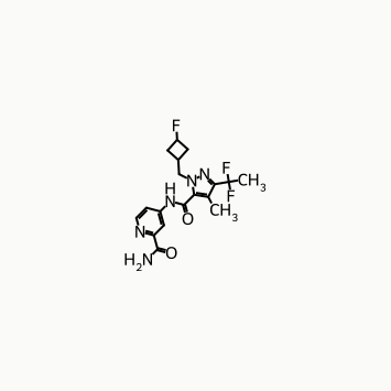 Cc1c(C(C)(F)F)nn(CC2CC(F)C2)c1C(=O)Nc1ccnc(C(N)=O)c1